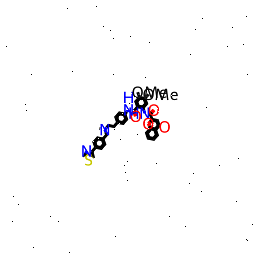 COc1cc(NC(=O)c2cc(=O)c3ccccc3o2)c(C(=O)Nc2ccc(CCN(C)Cc3ccc(-c4cscn4)cc3)cc2)cc1OC